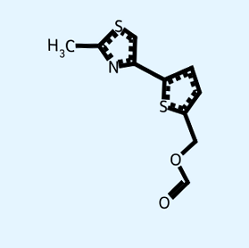 Cc1nc(-c2ccc(COC=O)s2)cs1